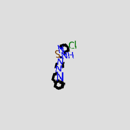 S=C(Nc1cc(Cl)ccn1)N1CCN(c2ccc3ccccc3n2)CC1